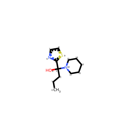 CCCC(O)(c1nccs1)N1CCCCC1